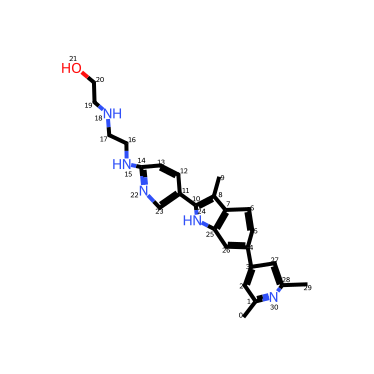 Cc1cc(-c2ccc3c(C)c(-c4ccc(NCCNCCO)nc4)[nH]c3c2)cc(C)n1